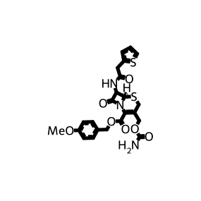 COc1ccc(COC(=O)C2=C(COC(N)=O)CS[C@H]3C(NC(=O)Cc4cccs4)C(=O)N23)cc1